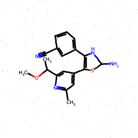 COC(C)c1cc(C2=C(c3cccc(C#N)c3)NC(N)S2)cc(C)n1